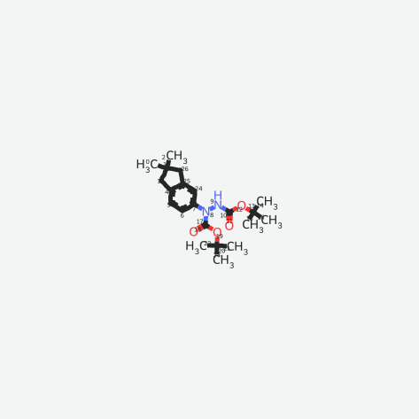 CC1(C)Cc2ccc(N(NC(=O)OC(C)(C)C)C(=O)OC(C)(C)C)cc2C1